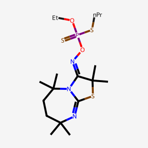 CCCSP(=S)(OCC)ON=C1N2C(=NC(C)(C)CCC2(C)C)SC1(C)C